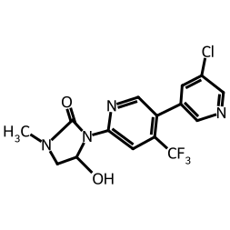 CN1CC(O)N(c2cc(C(F)(F)F)c(-c3cncc(Cl)c3)cn2)C1=O